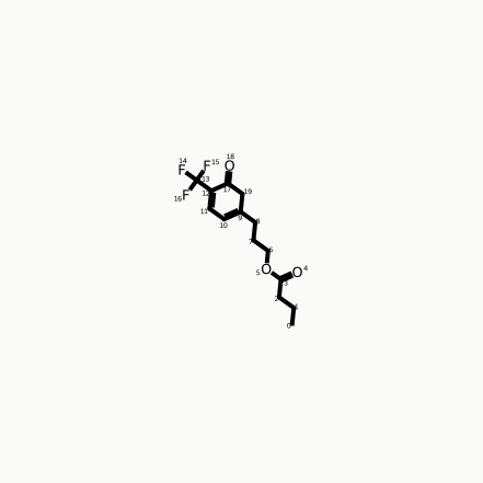 CCCC(=O)OCCCC1=CC=C(C(F)(F)F)C(=O)C1